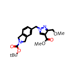 COCc1nn(Cc2ccc3c(c2)CN(C(=O)OC(C)(C)C)C3)cc1C(=O)OC